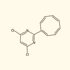 Clc1cc(Cl)nc(C2=C/C=C\C=C/C=C\2)n1